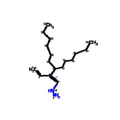 C=C/C(=C\NN)C(CCCCCC)CCCCCC